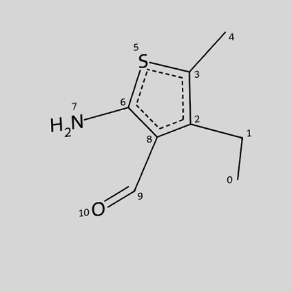 CCc1c(C)sc(N)c1C=O